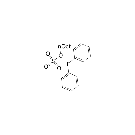 CCCCCCCCOS(=O)(=O)[O-].c1ccc([I+]c2ccccc2)cc1